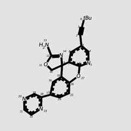 CC(C)(C)C#Cc1cnc2c(c1)C1(COC(N)=N1)c1cc(-c3cnccn3)ccc1O2